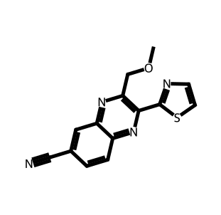 COCc1nc2cc(C#N)ccc2nc1-c1nccs1